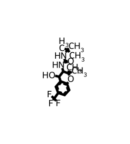 CC(C)(C)NC(=O)NC1C(O)c2cc(C(F)(F)F)ccc2OC1(C)C